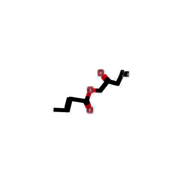 CC=CC(=O)OCC(=O)CC(C)=O